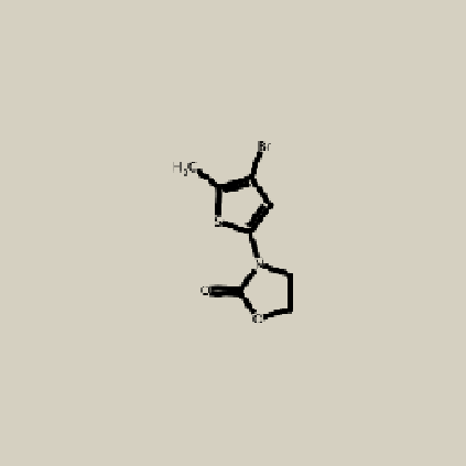 Cc1sc(N2CCOC2=O)cc1Br